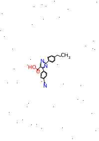 CCCc1ccc(-c2ncc(C(=O)O)c(-c3ccc(C#N)cc3)n2)cc1